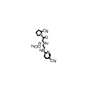 Cl.Cl.N#Cc1ccc(NCCNCC(=O)N2CCC[C@H]2C#N)nc1